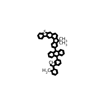 C=C/C(c1cccc(-c2c3ccccc3c(-c3ccc4c(c3)C(C)(C)c3ccc5cc6sc7ccccc7c6cc5c3-4)c3ccccc23)c1)=c1/ccccc1=C